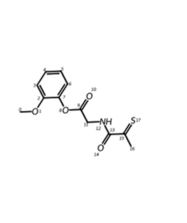 COc1ccccc1OC(=O)CNC(=O)C(C)=S